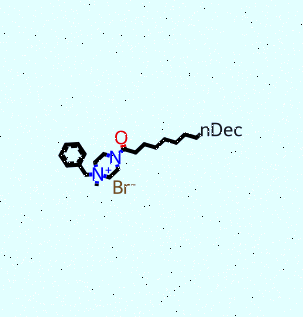 CCCCCCCCCCCCCCCCCC(=O)N1CC[N+](C)(Cc2ccccc2)CC1.[Br-]